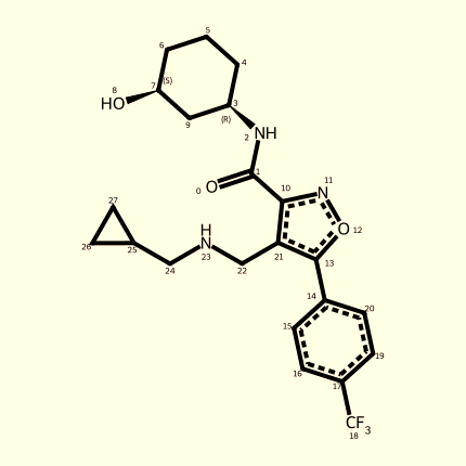 O=C(N[C@@H]1CCC[C@H](O)C1)c1noc(-c2ccc(C(F)(F)F)cc2)c1CNCC1CC1